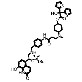 CN(CCC(=O)Nc1ccc(CNC[C@@H](O[Si](C)(C)C(C)(C)C)c2ccc(O)c3[nH]c(=O)ccc23)cc1)C1CCC(OC(=O)C(O)(c2cccs2)c2cccs2)CC1